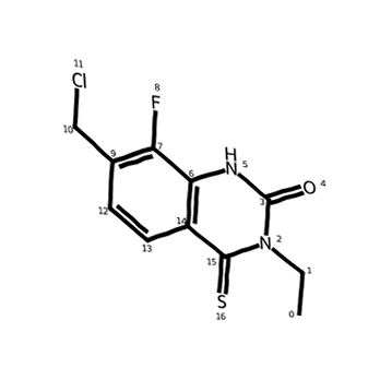 CCn1c(=O)[nH]c2c(F)c(CCl)ccc2c1=S